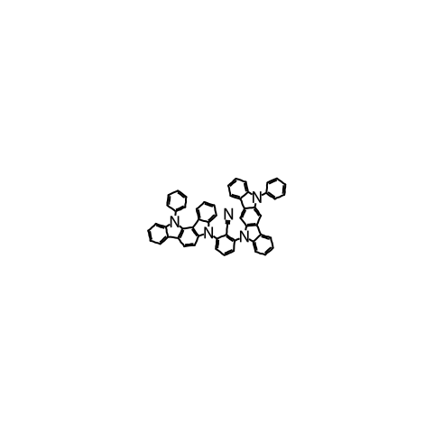 N#Cc1c(-n2c3ccccc3c3cc4c(cc32)c2ccccc2n4-c2ccccc2)cccc1-n1c2ccccc2c2c1ccc1c3ccccc3n(-c3ccccc3)c12